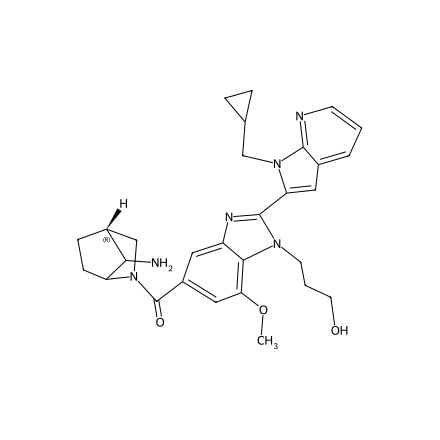 COc1cc(C(=O)N2C[C@H]3CCC2C3N)cc2nc(-c3cc4cccnc4n3CC3CC3)n(CCCO)c12